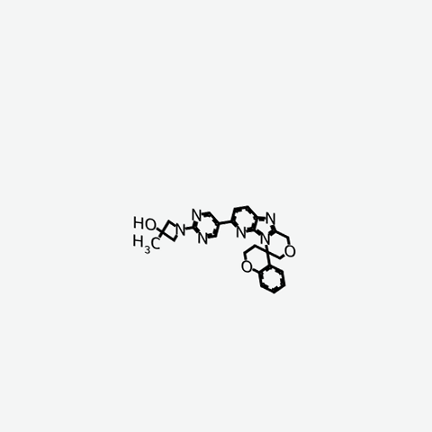 CC1(O)CN(c2ncc(-c3ccc4nc5n(c4n3)C3(CCOc4ccccc43)COC5)cn2)C1